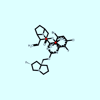 C=CC1C2CCC(CN1c1nc(OC[C@@]34CCCN3C[C@H](F)C4)nc3c(F)c(Cl)cc(Br)c13)N2C(=O)OC(C)(C)C